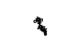 Cc1cc(C2CN(c3c(Cl)cccc3Cl)C2)cc(Cl)c1CN1CC(C)(OC=O)C1